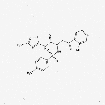 Cc1ccc(S(=O)(=O)NC(Cc2c[nH]c3ccccc23)C(=O)Nc2nc(C)cs2)cc1